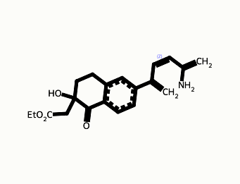 C=C(N)/C=C\C(=C)c1ccc2c(c1)CCC(O)(CC(=O)OCC)C2=O